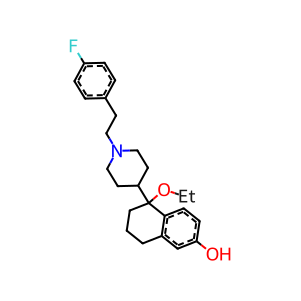 CCOC1(C2CCN(CCc3ccc(F)cc3)CC2)CCCc2cc(O)ccc21